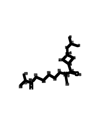 CC(C)CN1CC(C(=O)N(C)CCCCCNC(C)C)C1